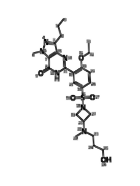 CCCc1nn(C)c2c(=O)[nH]c(-c3cc(S(=O)(=O)N4CC(N(C)CCCO)C4)ccc3OCC)nc12